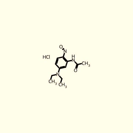 CCN(CC)c1ccc(N=O)c(NC(C)=O)c1.Cl